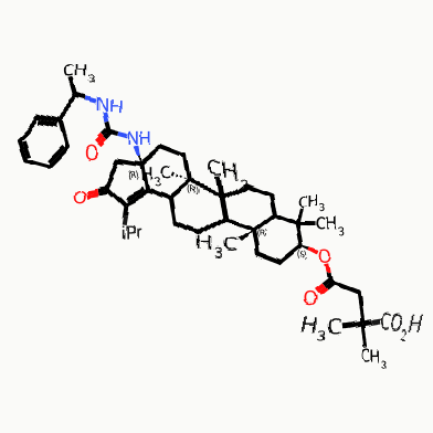 CC(C)C1=C2C3CCC4C(C)(CCC5C(C)(C)[C@@H](OC(=O)CC(C)(C)C(=O)O)CC[C@@]54C)[C@]3(C)CC[C@@]2(NC(=O)NC(C)c2ccccc2)CC1=O